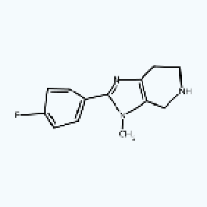 Cn1c(-c2ccc(F)cc2)nc2c1CNCC2